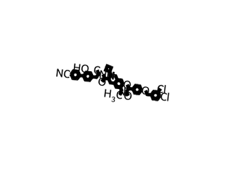 CN1C(=O)C(c2ccc(OCc3ccc(Cl)c(Cl)c3)cc2)Oc2cc3c(cc21)CC(C(=O)NC(Cc1ccc(-c2ccc(C#N)cc2)cc1)C(=O)O)N(C1CCC1)C3